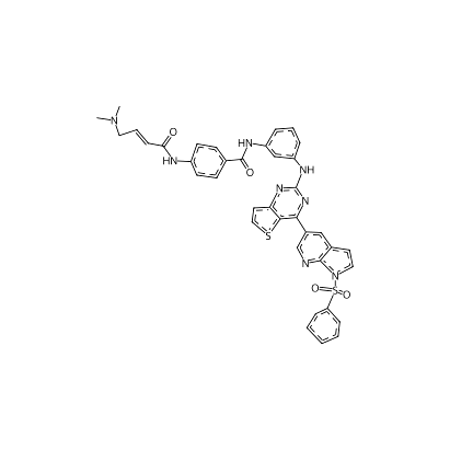 CN(C)CC=CC(=O)Nc1ccc(C(=O)Nc2cccc(Nc3nc(-c4cnc5c(ccn5S(=O)(=O)c5ccccc5)c4)c4sccc4n3)c2)cc1